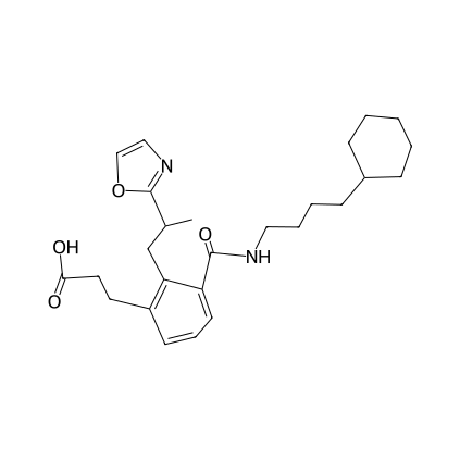 CC(Cc1c(CCC(=O)O)cccc1C(=O)NCCCCC1CCCCC1)c1ncco1